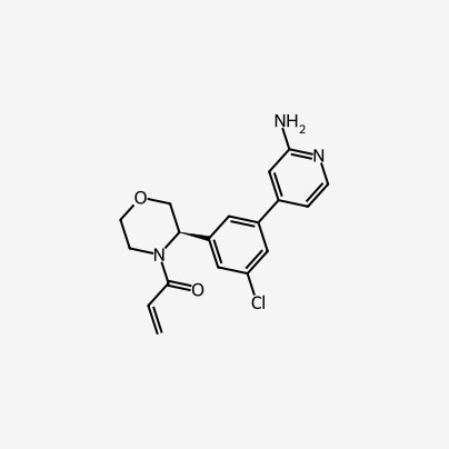 C=CC(=O)N1CCOC[C@H]1c1cc(Cl)cc(-c2ccnc(N)c2)c1